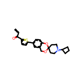 C=CC(=O)c1ccc(-c2ccc3c(c2)COC2(CCN(C4CCC4)CC2)O3)s1